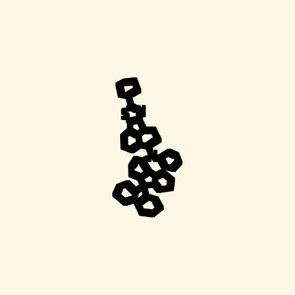 c1ccc(-c2nc3c(s2)-c2cccc4c(N(c5ccccc5)c5cccc6c5-c5ccccc5C6(c5ccccc5)c5ccccc5)ccc-3c24)cc1